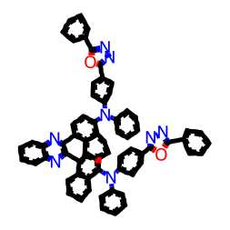 c1ccc(-c2nnc(-c3ccc(N(c4ccccc4)c4ccc(-c5nc6ccccc6nc5-c5ccc(N(c6ccccc6)c6ccc(-c7nnc(-c8ccccc8)o7)cc6)c6ccccc56)c5ccccc45)cc3)o2)cc1